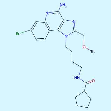 CCOCc1nc2c(N)nc3cc(Br)ccc3c2n1CCCCNC(=O)C1CCCC1